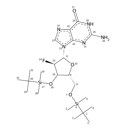 CC(C)(C)[Si](C)(C)OC[C@H]1O[C@@H](n2cnc3c(=O)[nH]c(N)nc32)[C@H](F)C1O[Si](C)(C)C(C)(C)C